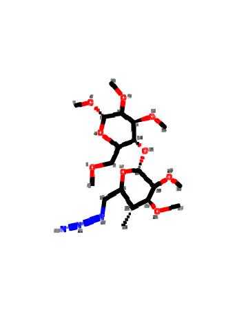 COCC1O[C@H](OC)C(OC)[C@@H](OC)[C@@H]1O[C@H]1OC(CN=[N+]=[N-])[C@@H](C)[C@H](OC)C1OC